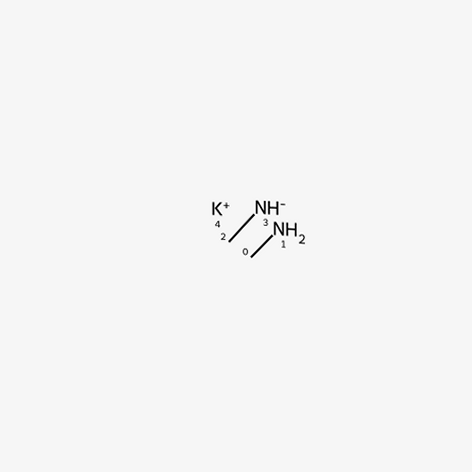 CN.C[NH-].[K+]